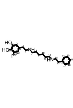 Oc1cc(CCNCCCCCCNCCc2ccccc2)cc(F)c1O